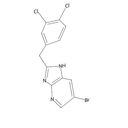 Clc1ccc(Cc2nc3ncc(Br)cc3[nH]2)cc1Cl